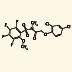 COc1c(F)c(F)c(F)c(F)c1S(=O)(=O)N(C)C(=O)COc1ccc(Cl)cc1Cl